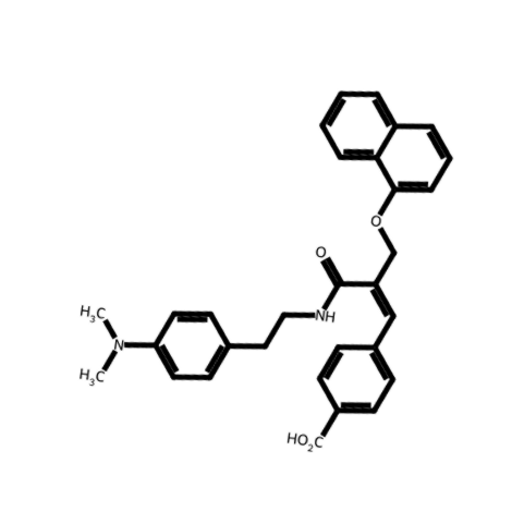 CN(C)c1ccc(CCNC(=O)C(=Cc2ccc(C(=O)O)cc2)COc2cccc3ccccc23)cc1